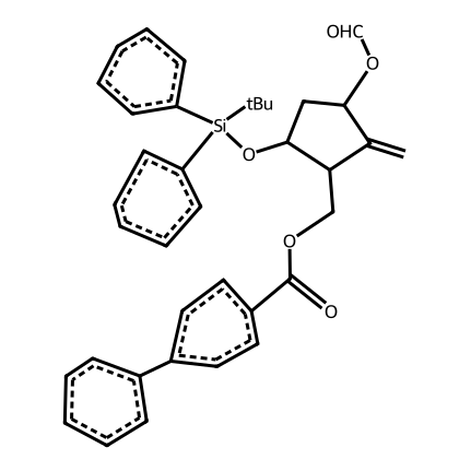 C=C1C(OC=O)CC(O[Si](c2ccccc2)(c2ccccc2)C(C)(C)C)C1COC(=O)c1ccc(-c2ccccc2)cc1